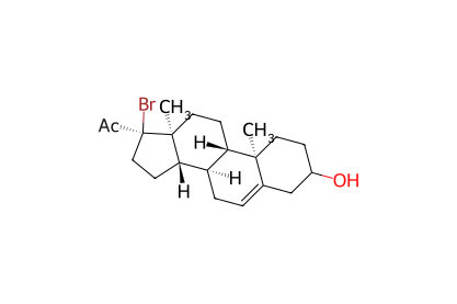 CC(=O)[C@@]1(Br)CC[C@H]2[C@@H]3CC=C4CC(O)CC[C@]4(C)[C@H]3CC[C@@]21C